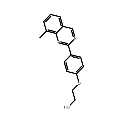 Cc1cccc2cnc(-c3ccc(OCCO)cc3)nc12